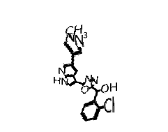 Cn1cc(-c2cnc3[nH]cc(-c4nnc(C(O)c5ccccc5Cl)o4)c3c2)cn1